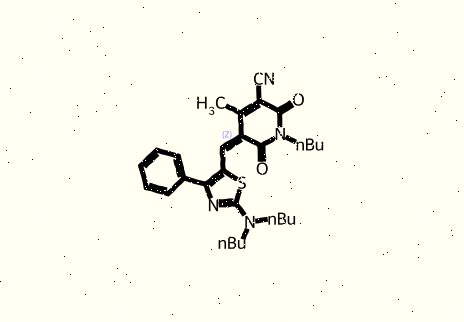 CCCCN1C(=O)C(C#N)=C(C)/C(=C/c2sc(N(CCCC)CCCC)nc2-c2ccccc2)C1=O